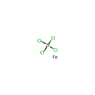 [Cl][Zr]([Cl])([Cl])[Cl].[Fe]